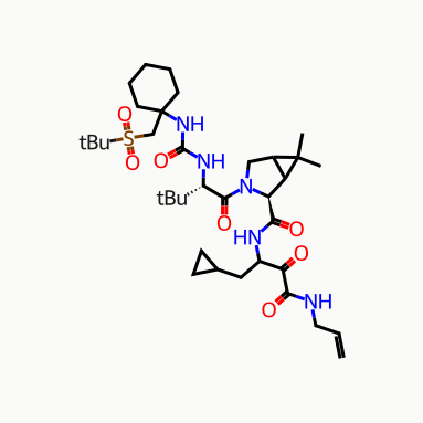 C=CCNC(=O)C(=O)C(CC1CC1)NC(=O)[C@@H]1C2C(CN1C(=O)[C@@H](NC(=O)NC1(CS(=O)(=O)C(C)(C)C)CCCCC1)C(C)(C)C)C2(C)C